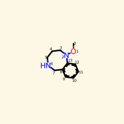 CON1CCCNCc2ccccc21